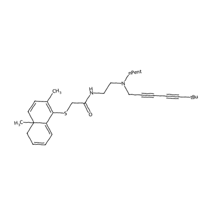 CCCCCN(CC#CC#CC(C)(C)C)CCNC(=O)CSC1=C(C)C=CC2(C)CC=CC=C12